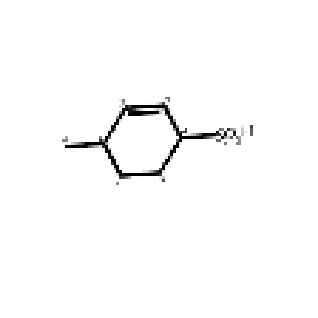 CC1C=CC(S(=O)(=O)O)CC1